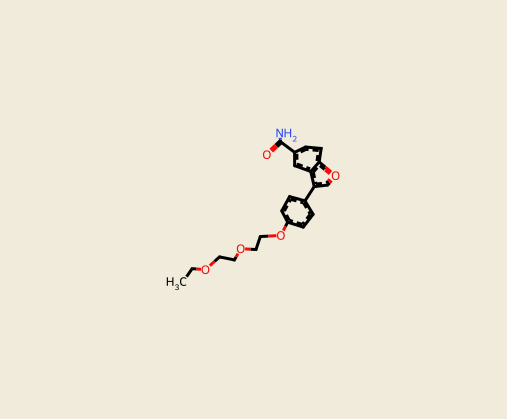 CCOCCOCCOc1ccc(-c2coc3ccc(C(N)=O)cc23)cc1